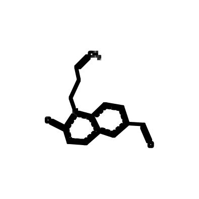 C=CCCn1c(=O)ccc2cc(C=O)ccc21